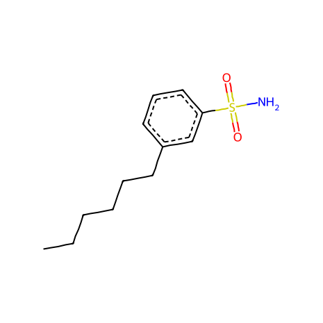 CCCCCCc1cccc(S(N)(=O)=O)c1